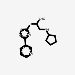 O=CC(CNC1CCCC1)Sc1nc(-c2cccnc2)ns1